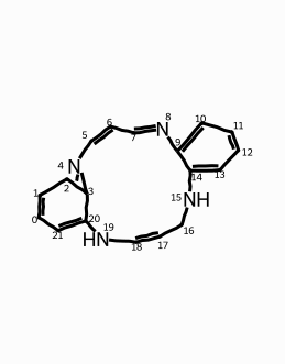 C1=CC\C2=N/C=C\C=N\c3ccccc3NC/C=C\NC2=C1